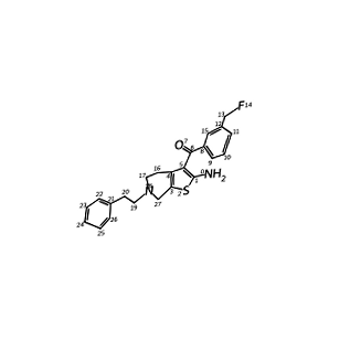 Nc1sc2c(c1C(=O)c1cccc(CF)c1)CCN(CCc1ccccc1)C2